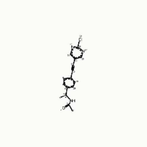 CC(=O)N[C@@H](C)c1ccc(C#Cc2cnc(Cl)nc2)cc1